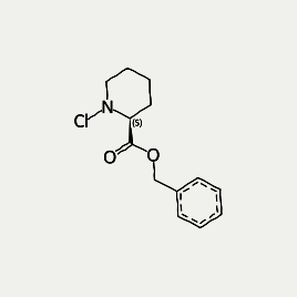 O=C(OCc1ccccc1)[C@@H]1CCCCN1Cl